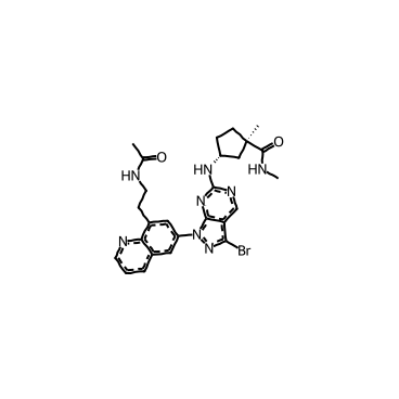 CNC(=O)[C@]1(C)CC[C@@H](Nc2ncc3c(Br)nn(-c4cc(CCNC(C)=O)c5ncccc5c4)c3n2)C1